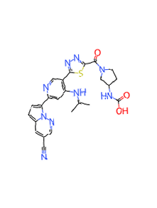 CC(C)Nc1cc(-c2ccc3cc(C#N)cnn23)ncc1-c1nnc(C(=O)N2CCC(NC(=O)O)C2)s1